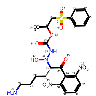 CC(CS(=O)(=O)c1ccccc1)OC(=O)NN(O)[C@@H](CCCCN)C(=O)c1c([N+](=O)[O-])cccc1[N+](=O)[O-]